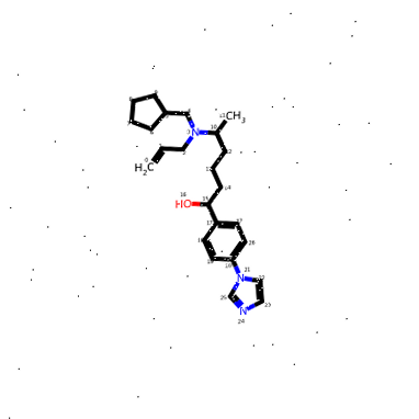 C=CCN(CC1CCCC1)C(C)CCCC(O)c1ccc(-n2ccnc2)cc1